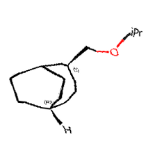 CC(C)OC[C@H]1C[C@@H]2CCC1C2